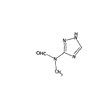 CN([C]=O)c1nc[nH]n1